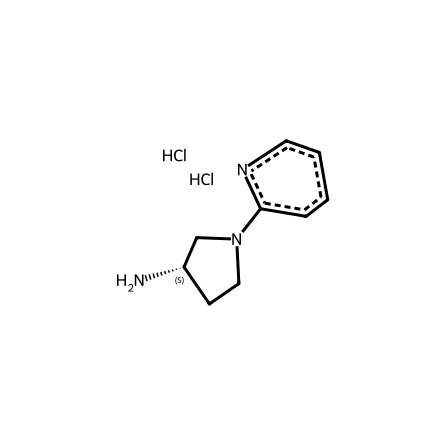 Cl.Cl.N[C@H]1CCN(c2ccccn2)C1